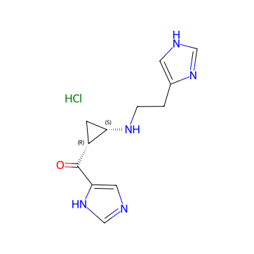 Cl.O=C(c1cnc[nH]1)[C@@H]1C[C@@H]1NCCc1c[nH]cn1